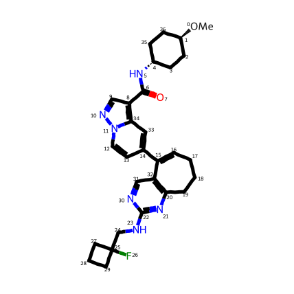 CO[C@H]1CC[C@H](NC(=O)c2cnn3ccc(C4=CCCCc5nc(NCC6(F)CCC6)ncc54)cc23)CC1